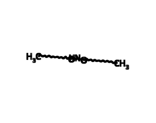 CCCCCCCCCCCCCCCCOCCNCCOCCCCCCCCCCCCCCCC